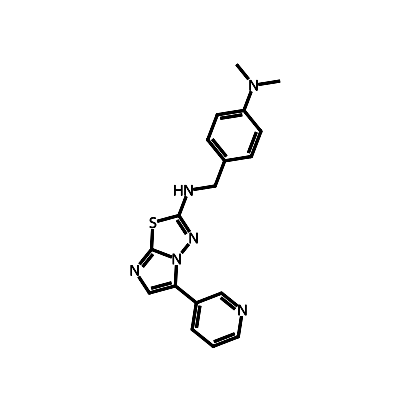 CN(C)c1ccc(CNc2nn3c(-c4cccnc4)cnc3s2)cc1